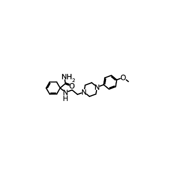 COc1ccc(N2CCN(CCNC3(C(N)=O)C=CC=CC3)CC2)cc1